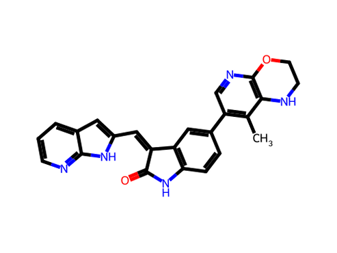 Cc1c(-c2ccc3c(c2)C(=Cc2cc4cccnc4[nH]2)C(=O)N3)cnc2c1NCCO2